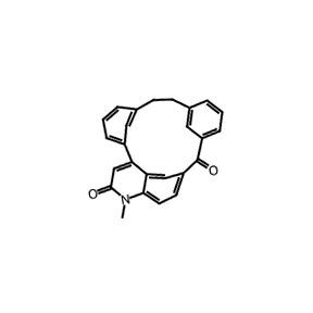 Cn1c(=O)cc2c3cc(ccc31)C(=O)c1cccc(c1)CCc1cccc-2c1